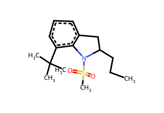 CCCC1Cc2cccc(C(C)(C)C)c2N1S(C)(=O)=O